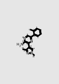 Cc1ccccc1-c1cnc(N)c(-c2cn(C)nc2C)n1